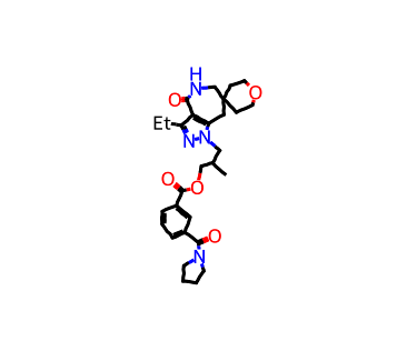 CCc1nn(CC(C)COC(=O)c2cccc(C(=O)N3CCCC3)c2)c2c1C(=O)NCC1(CCOCC1)C2